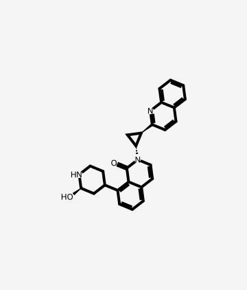 O=c1c2c(C3CCN[C@H](O)C3)cccc2ccn1[C@@H]1C[C@H]1c1ccc2ccccc2n1